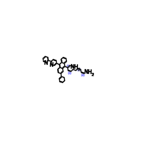 N/C=C\C=C/CC/C=C\C(=C/N)c1c2ccccc2c(-c2ccc(-c3ccccn3)nc2)c2ccc(C3=CC=CCC3)cc12